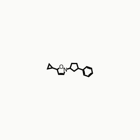 C1=CN(C2CCC(c3ccccc3)C2)OC1C1CC1